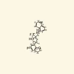 CC(C)(CC(O)(C[AsH]c1cccc2ncccc12)C(F)(F)F)c1cc(F)cc2c1OCC2